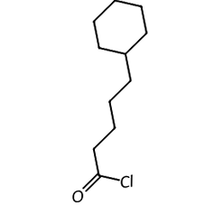 O=C(Cl)CCCCC1CCCCC1